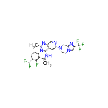 Cc1nc(N[C@H](C)c2cccc(C(F)F)c2F)c2cc(N3CCn4cc(C(F)(F)F)nc4C3)ncc2n1